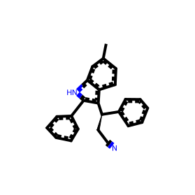 Cc1ccc2c([C@H](CC#N)c3ccccc3)c(-c3ccccc3)[nH]c2c1